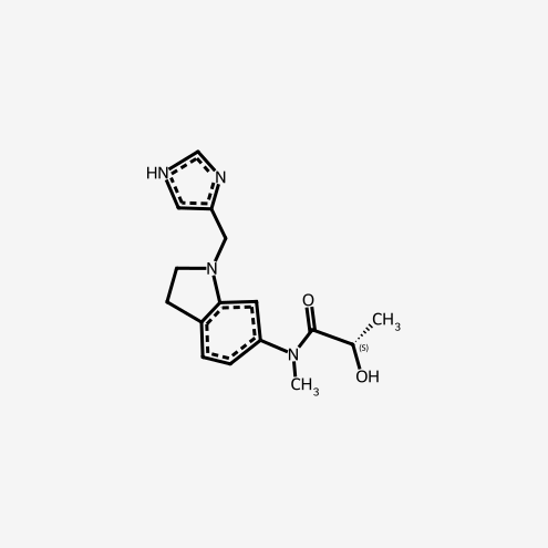 C[C@H](O)C(=O)N(C)c1ccc2c(c1)N(Cc1c[nH]cn1)CC2